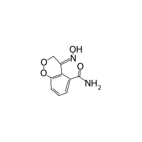 NC(=O)c1cccc2c1C(=NO)COO2